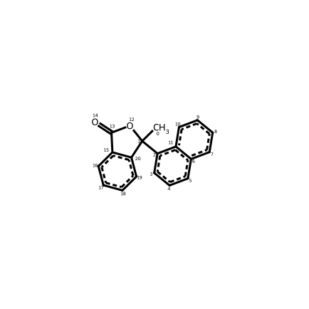 CC1(c2cccc3ccccc23)OC(=O)c2ccccc21